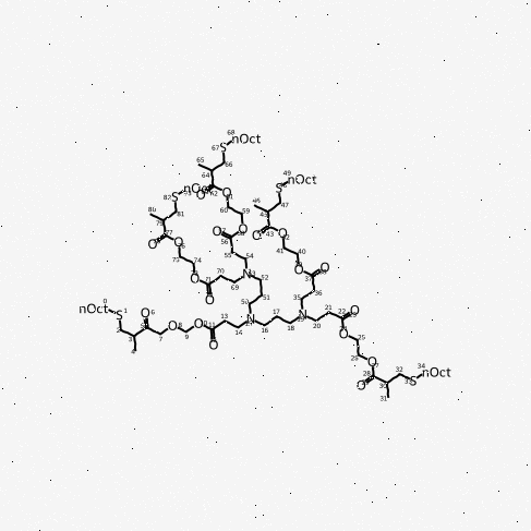 CCCCCCCCSCC(C)C(=O)COCOC(=O)CCN(CCCN(CCC(=O)OCCOC(=O)C(C)CSCCCCCCCC)CCC(=O)OCCOC(=O)C(C)CSCCCCCCCC)CCCN(CCC(=O)OCCOC(=O)C(C)CSCCCCCCCC)CCC(=O)OCCOC(=O)C(C)CSCCCCCCCC